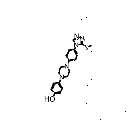 CSc1nncn1-c1ccc(N2CCN(c3ccc(O)cc3)CC2)cc1